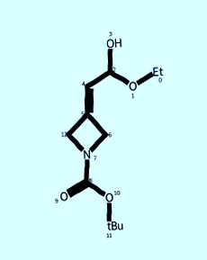 CCOC(O)C=C1CN(C(=O)OC(C)(C)C)C1